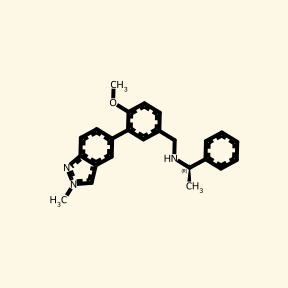 COc1ccc(CN[C@H](C)c2ccccc2)cc1-c1ccc2nn(C)cc2c1